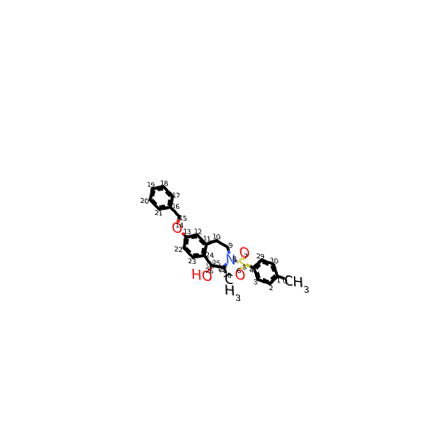 Cc1ccc(S(=O)(=O)N2CCc3cc(OCc4ccccc4)ccc3[C@H](O)[C@@H]2C)cc1